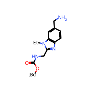 CCn1c(CNC(=O)OC(C)(C)C)nc2ccc(CN)cc21